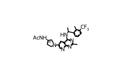 CC(=O)N[C@@H]1CCN(c2cnc3nc(C)nc(NC(C)c4cccc(C(F)(F)F)c4C)c3c2)C1